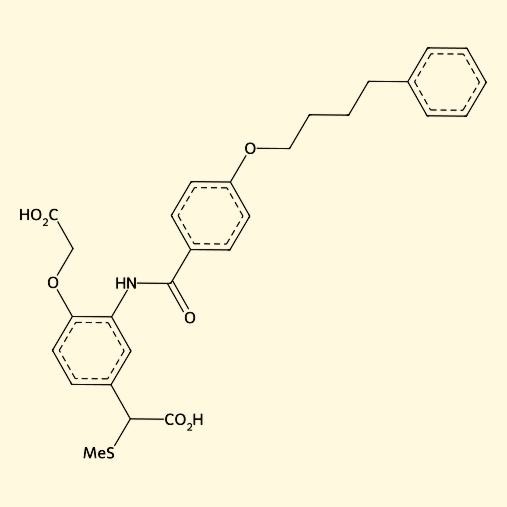 CSC(C(=O)O)c1ccc(OCC(=O)O)c(NC(=O)c2ccc(OCCCCc3ccccc3)cc2)c1